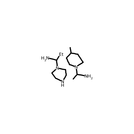 CC1CCN(C(C)N)CC1.CCC(N)N1CCNCC1